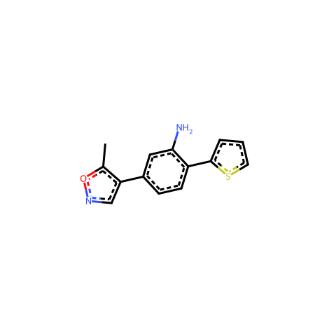 Cc1oncc1-c1ccc(-c2cccs2)c(N)c1